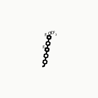 C=CC1CCC(C2CCC(c3ccc(C4=CCC(c5ccc(OC(F)(F)F)c(F)c5)CC4)c(F)c3)CC2)CC1